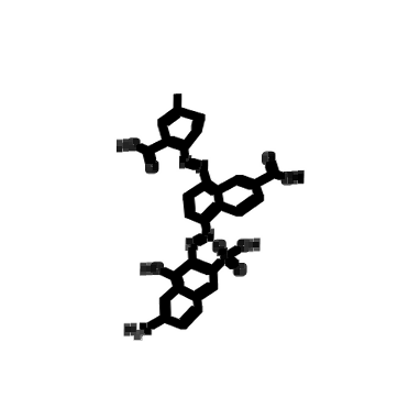 Cc1ccc(N=Nc2ccc(N=Nc3c(S(=O)(=O)O)cc4ccc(N)cc4c3O)c3ccc(C(=O)O)cc23)c(C(=O)O)c1